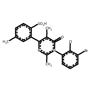 Cc1ccc(S(=O)(=O)O)c(-c2nc(C)n(-c3cccc(Br)c3Cl)c(=O)c2C)c1